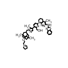 Cc1c(Nc2nc3ccccc3s2)nnc2c1CCCN2c1ccc(-c2cnn(CC34CC5(C)CC6(OCCN7CCCC7)CC(C)(C3)C6(C5)C4)c2C)c(CO)n1